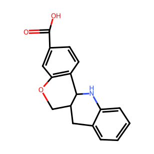 O=C(O)c1ccc2c(c1)OCC1Cc3ccccc3NC21